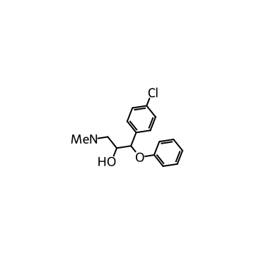 CNCC(O)C(Oc1ccccc1)c1ccc(Cl)cc1